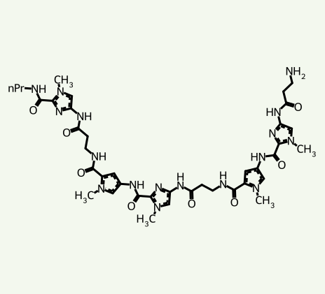 CCCNC(=O)c1nc(NC(=O)CCNC(=O)c2cc(NC(=O)c3nc(NC(=O)CCNC(=O)c4cc(NC(=O)c5nc(NC(=O)CCN)cn5C)cn4C)cn3C)cn2C)cn1C